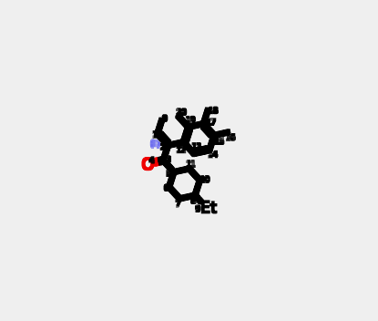 C/C=C(/C(=O)C1CCC(CC)CC1)c1ccc(C)c(C)c1C